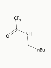 [CH]CCCCNC(=O)C(F)(F)F